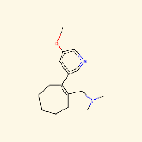 COc1cncc(C2=C(CN(C)C)CCCCC2)c1